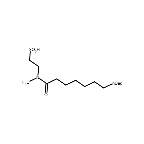 CCCCCCCCCCCCCCCCC(=O)N(C)CCS(=O)(=O)O